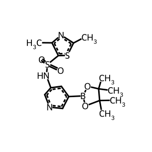 Cc1nc(C)c(S(=O)(=O)Nc2cncc(B3OC(C)(C)C(C)(C)O3)c2)s1